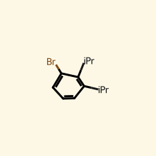 CC(C)c1cccc(Br)c1C(C)C